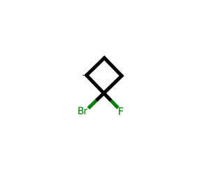 FC1(Br)[CH]CC1